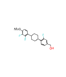 COc1ccc(C2CCC(c3ccc(CO)cc3F)CC2)c(F)c1F